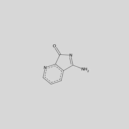 NC1=NC(=O)c2ncccc21